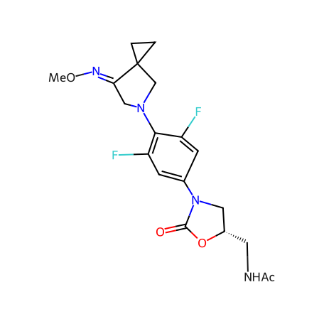 CO/N=C1\CN(c2c(F)cc(N3C[C@H](CNC(C)=O)OC3=O)cc2F)CC12CC2